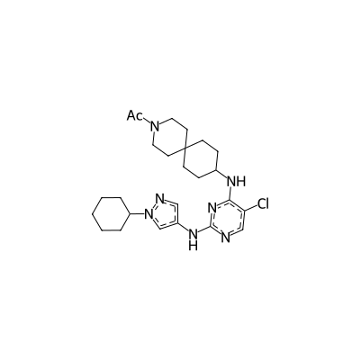 CC(=O)N1CCC2(CCC(Nc3nc(Nc4cnn(C5CCCCC5)c4)ncc3Cl)CC2)CC1